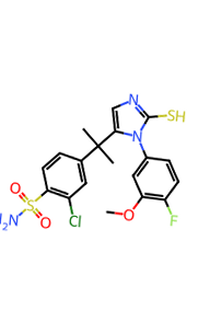 COc1cc(-n2c(C(C)(C)c3ccc(S(N)(=O)=O)c(Cl)c3)cnc2S)ccc1F